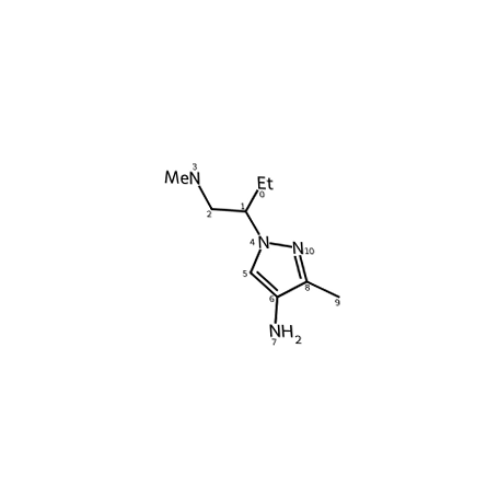 CCC(CNC)n1cc(N)c(C)n1